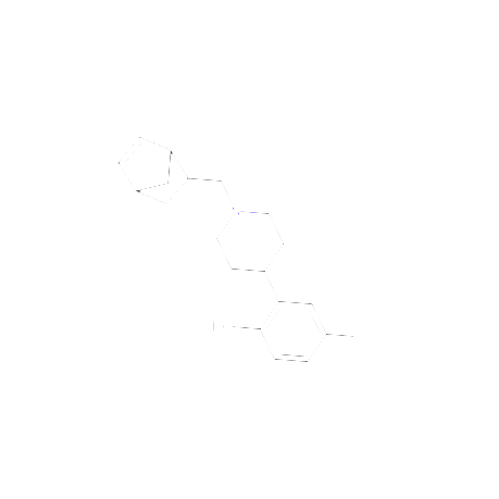 Cc1ccc(C)c(C2CCN(CC3CC4C=CC3C4)CC2)c1